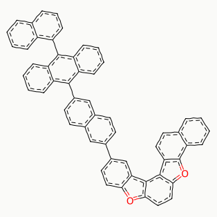 c1ccc2c(-c3c4ccccc4c(-c4ccc5cc(-c6ccc7oc8ccc9oc%10c%11ccccc%11ccc%10c9c8c7c6)ccc5c4)c4ccccc34)cccc2c1